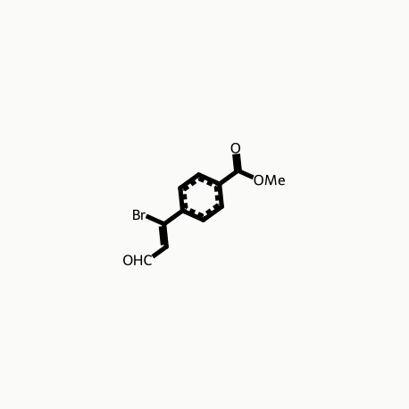 COC(=O)c1ccc(/C(Br)=C/C=O)cc1